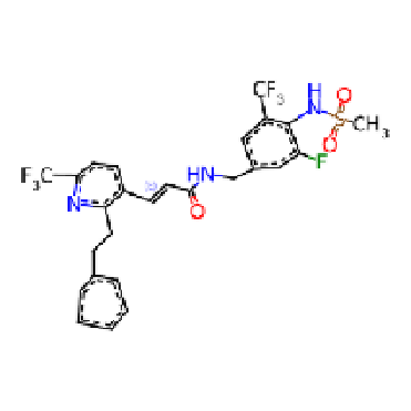 CS(=O)(=O)Nc1c(F)cc(CNC(=O)/C=C/c2ccc(C(F)(F)F)nc2CCc2ccccc2)cc1C(F)(F)F